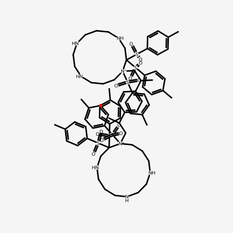 Cc1ccc(S(=O)(=O)C2(S(=O)(=O)c3ccc(C)cc3)CNCCCNCCNCCC[N+]2(CC(C)c2ccc(C(C)C[N+]3(S(=O)(=O)c4ccc(C)cc4)CCCNCCNCCCNCC3(S(=O)(=O)c3ccc(C)cc3)S(=O)(=O)c3ccc(C)cc3)cc2)S(=O)(=O)c2ccc(C)cc2)cc1